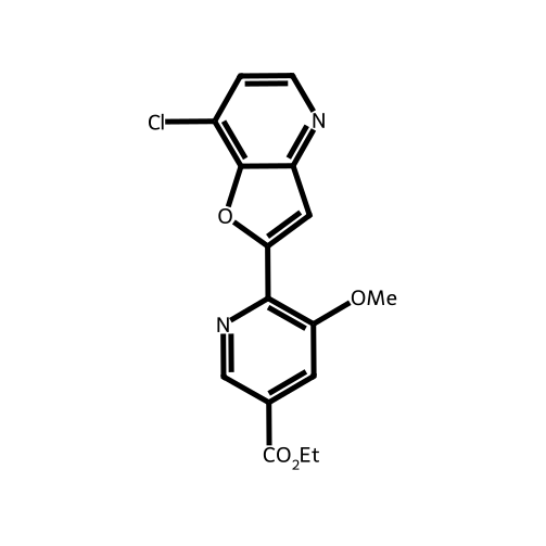 CCOC(=O)c1cnc(-c2cc3nccc(Cl)c3o2)c(OC)c1